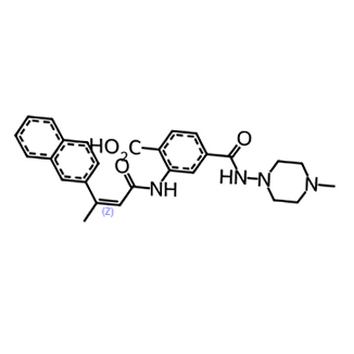 C/C(=C/C(=O)Nc1cc(C(=O)NN2CCN(C)CC2)ccc1C(=O)O)c1ccc2ccccc2c1